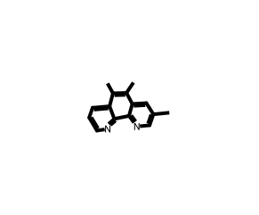 Cc1cnc2c(c1)c(C)c(C)c1cccnc12